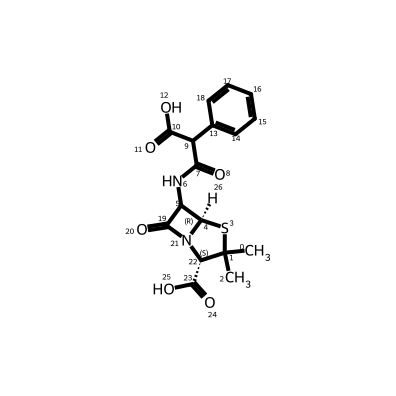 CC1(C)S[C@@H]2C(NC(=O)C(C(=O)O)c3ccccc3)C(=O)N2[C@H]1C(=O)O